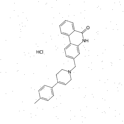 Cc1ccc(C2=CCN(Cc3ccc4c(c3)[nH]c(=O)c3ccccc34)CC2)cc1.Cl